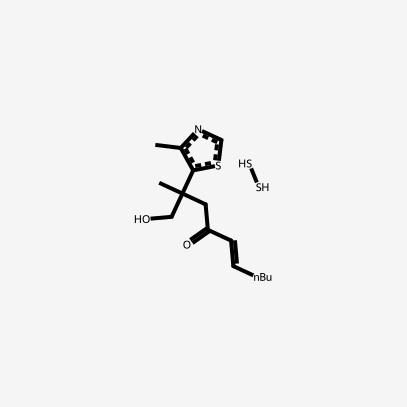 CCCCC=CC(=O)CC(C)(CO)c1scnc1C.SS